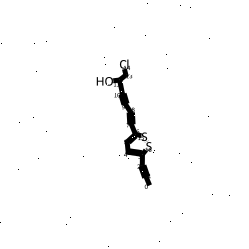 CC#CC1=CC=C(C#CC#CC(O)CCl)SS1